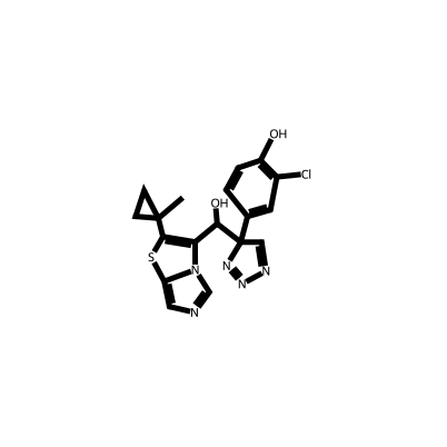 CC1(c2sc3cncn3c2C(O)C2(c3ccc(O)c(Cl)c3)C=NN=N2)CC1